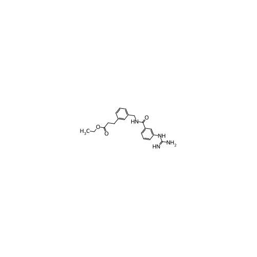 CCOC(=O)CCc1cccc(CNC(=O)c2cccc(NC(=N)N)c2)c1